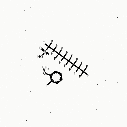 COc1ccccc1I.O=S(=O)(O)C(F)(F)C(F)(F)C(F)(F)C(F)(F)C(F)(F)C(F)(F)C(F)(F)C(F)(F)F